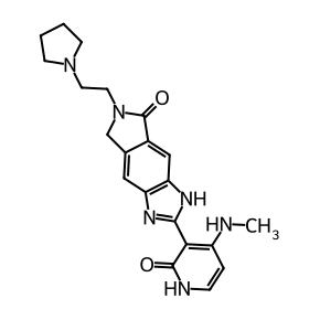 CNc1cc[nH]c(=O)c1-c1nc2cc3c(cc2[nH]1)C(=O)N(CCN1CCCC1)C3